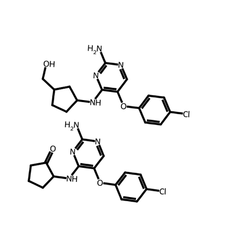 Nc1ncc(Oc2ccc(Cl)cc2)c(NC2CCC(CO)C2)n1.Nc1ncc(Oc2ccc(Cl)cc2)c(NC2CCCC2=O)n1